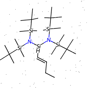 CCC=C[SiH](N([Si](C)(C)C(C)(C)C)[Si](C)(C)C(C)(C)C)N([Si](C)(C)C(C)(C)C)[Si](C)(C)C(C)(C)C